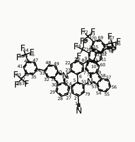 N#Cc1ccc(-c2cc(-c3ccc(C#N)cc3C(F)(F)F)ccc2-n2c3ccccc3c3cc(-c4cc(C(F)(F)F)cc(C(F)(F)F)c4)ccc32)c(-n2c3ccccc3c3cc(-c4cc(C(F)(F)F)cc(C(F)(F)F)c4)ccc32)c1